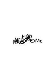 COCCOC1(Nc2ccc(Cc3ccc(NC4(C)OO4)cc3)cc2)OO1